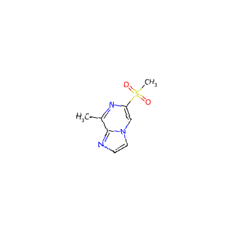 Cc1nc(S(C)(=O)=O)cn2ccnc12